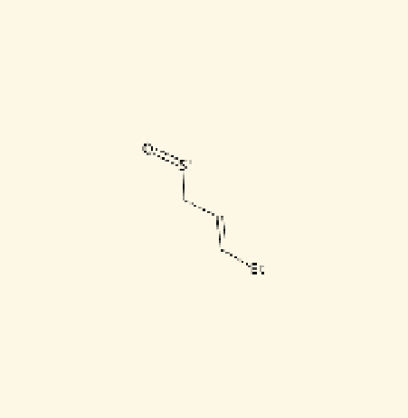 CCC=CC[S+]=O